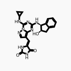 O=C1NC(=O)/C(=C/c2cnn3c(NC4CC4)nc(N[C@H]4c5ccccc5C[C@H]4O)nc23)N1